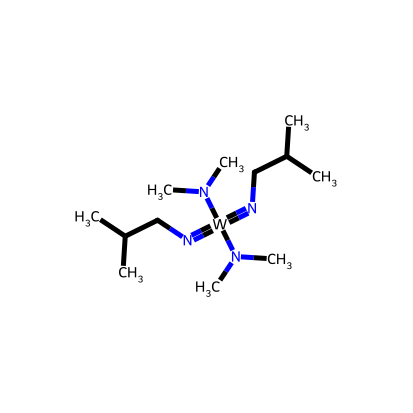 CC(C)C[N]=[W](=[N]CC(C)C)([N](C)C)[N](C)C